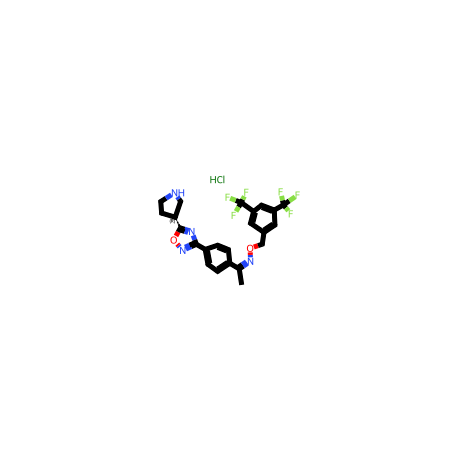 CC(=NOCc1cc(C(F)(F)F)cc(C(F)(F)F)c1)c1ccc(-c2noc([C@@H]3CCNC3)n2)cc1.Cl